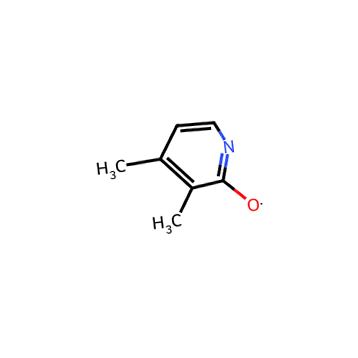 Cc1ccnc([O])c1C